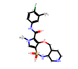 Cc1cc(NC(=O)c2c3c(cn2C)S(=O)(=O)NC2CNCCC2CO3)ccc1F